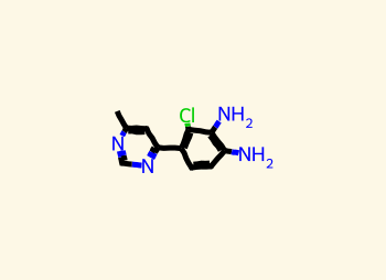 Cc1cc(-c2ccc(N)c(N)c2Cl)ncn1